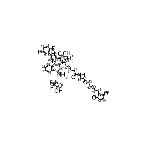 CC(C)(C)[C@H](c1cc(-c2cc(F)ccc2F)cn1Cc1ccccc1)N(CCCN)C(=O)CSCCC(=O)NCCOCCOCCN1C(=O)C=CC1=O.O=C(O)C(F)(F)F